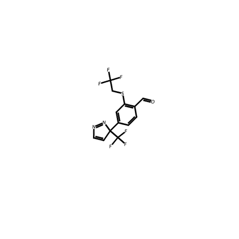 O=Cc1ccc(C2(C(F)(F)F)C=CN=N2)cc1SCC(F)(F)F